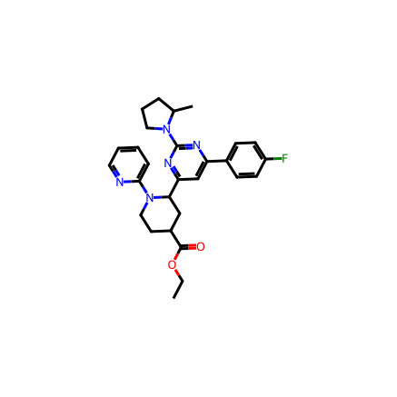 CCOC(=O)C1CCN(c2ccccn2)C(c2cc(-c3ccc(F)cc3)nc(N3CCCC3C)n2)C1